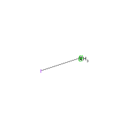 C[Si](Cl)(Cl)CCCCCCCCCCCCCCCCCCCCCCCCCCCCCCCCCCCI